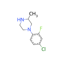 CC1CN(c2ccc(Cl)cc2F)CCN1